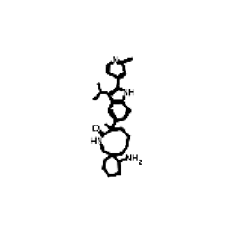 Cc1cc(-c2[nH]c3ccc(C4(C)CCCCC5(CCCCC5N)CNC4=O)cc3c2C(C)C)ccn1